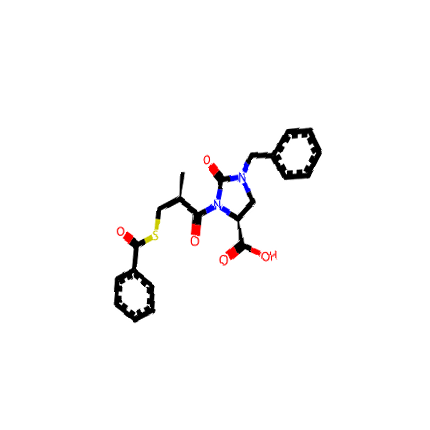 C[C@H](CSC(=O)c1ccccc1)C(=O)N1C(=O)N(Cc2ccccc2)C[C@H]1C(=O)O